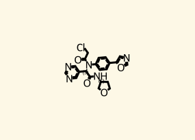 O=C(N[C@H]1CCOC1)[C@H](c1cncnc1)N(C(=O)CCl)c1ccc(-c2cnco2)cc1